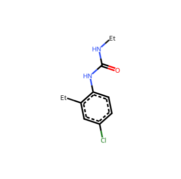 CCNC(=O)Nc1ccc(Cl)cc1CC